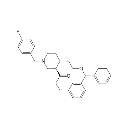 CCC(=O)[C@H]1CN(Cc2ccc(F)cc2)CC[C@@H]1CCOC(c1ccccc1)c1ccccc1